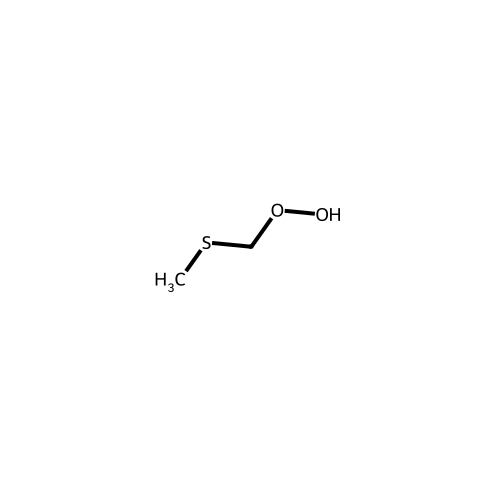 CSCOO